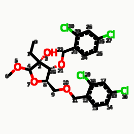 CC[C@]1(O)C(OC)O[C@H](COCc2ccc(Cl)cc2Cl)[C@H]1OCc1ccc(Cl)cc1Cl